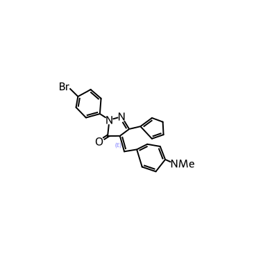 CNc1ccc(/C=C2/C(=O)N(c3ccc(Br)cc3)N=C2C2=CCC=C2)cc1